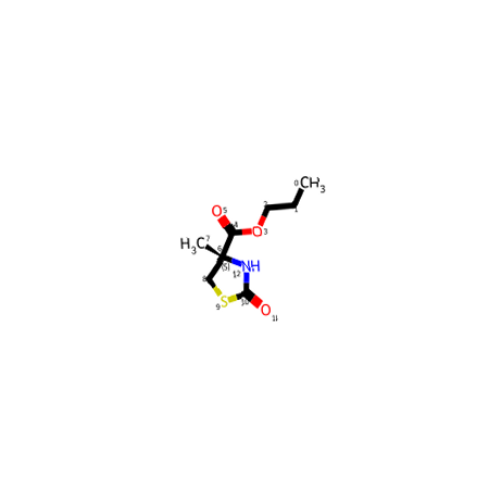 CCCOC(=O)[C@@]1(C)CSC(=O)N1